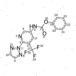 O=C(Nc1cnc(-n2nccn2)c(C(F)(F)F)c1)Oc1ccccc1